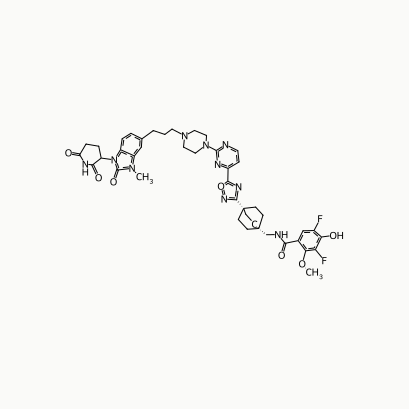 COc1c(C(=O)NC[C@]23CC[C@](c4noc(-c5ccnc(N6CCN(CCCc7ccc8c(c7)n(C)c(=O)n8C7CCC(=O)NC7=O)CC6)n5)n4)(CC2)CC3)cc(F)c(O)c1F